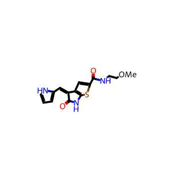 COCCNC(=O)c1cc2c(s1)NC(=O)/C2=C\c1ccc[nH]1